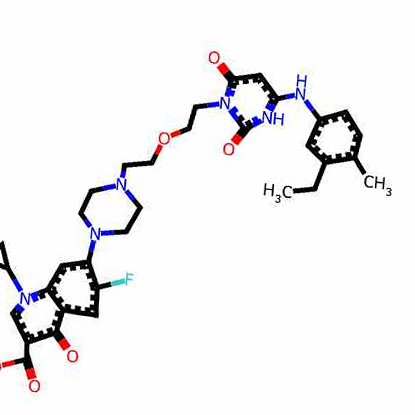 CCc1cc(Nc2cc(=O)n(CCOCCN3CCN(c4cc5c(cc4F)c(=O)c(C(=O)O)cn5C4CC4)CC3)c(=O)[nH]2)ccc1C